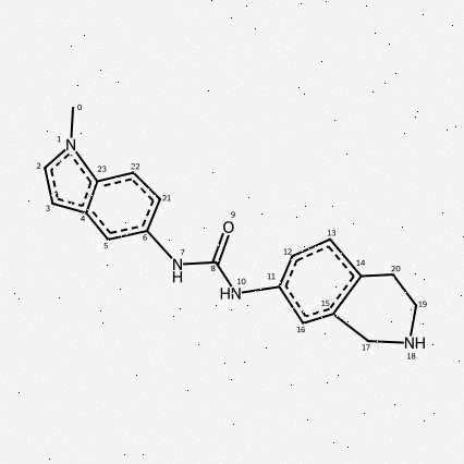 Cn1ccc2cc(NC(=O)Nc3ccc4c(c3)CNCC4)ccc21